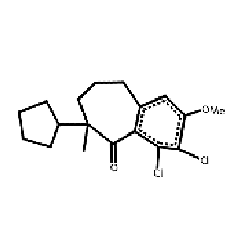 COc1cc2c(c(Cl)c1Cl)C(=O)C(C)(C1CCCC1)CCC2